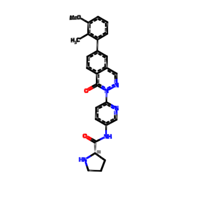 COc1cccc(-c2ccc3c(=O)n(-c4ccc(NC(=O)[C@@H]5CCCN5)cn4)ncc3c2)c1C